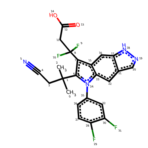 CC(C)(CC#N)c1c(C(F)(F)CC(=O)O)c2cc3[nH]ncc3cc2n1-c1ccc(F)c(F)c1